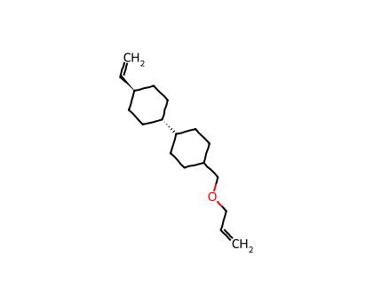 C=CCOCC1CCC([C@H]2CC[C@H](C=C)CC2)CC1